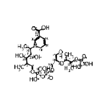 CC(COP(=O)(O)OP(=O)(O)OC[C@H](CO)O[C@@H](C)[C@@H](C)OP(=O)(O)O)[C@@H](O)[C@@H](O)C(C)N1C=C(C(=O)O)C=CC1